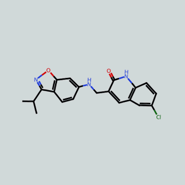 CC(C)c1noc2cc(NCc3cc4cc(Cl)ccc4[nH]c3=O)ccc12